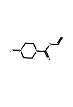 C=COC(=O)N1CCN(CC)CC1